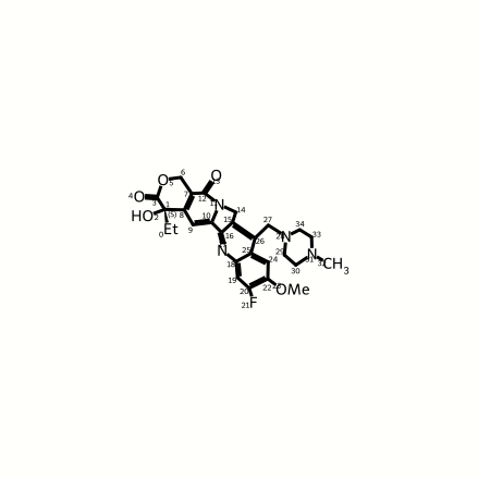 CC[C@@]1(O)C(=O)OCc2c1cc1n(c2=O)Cc2c-1nc1cc(F)c(OC)cc1c2CN1CCN(C)CC1